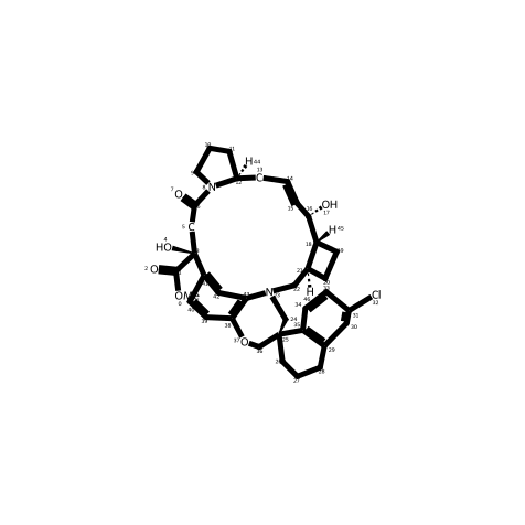 COC(=O)[C@]1(O)CC(=O)N2CCC[C@H]2C/C=C/[C@H](O)[C@@H]2CC[C@H]2CN2C[C@@]3(CCCc4cc(Cl)ccc43)COc3ccc1cc32